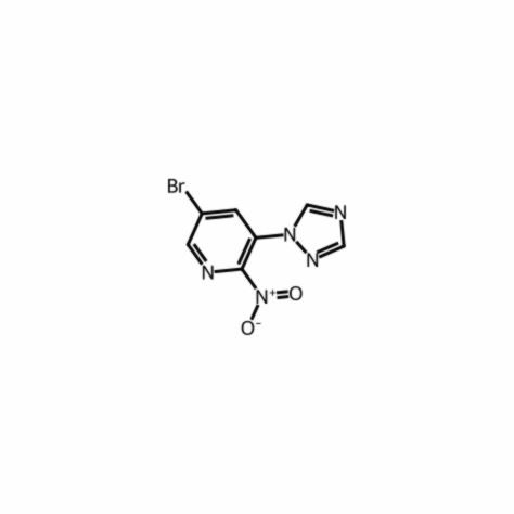 O=[N+]([O-])c1ncc(Br)cc1-n1cncn1